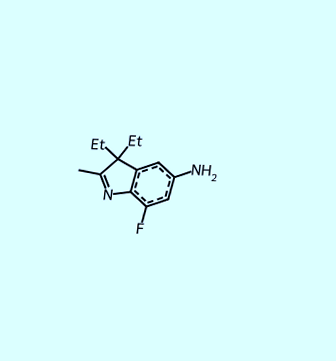 CCC1(CC)C(C)=Nc2c(F)cc(N)cc21